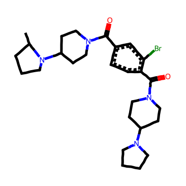 CC1CCCN1C1CCN(C(=O)c2ccc(C(=O)N3CCC(N4CCCC4)CC3)c(Br)c2)CC1